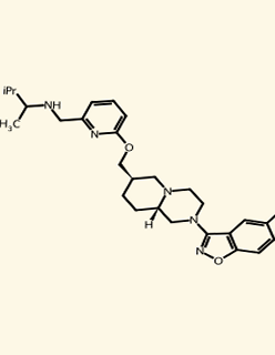 CC(C)C(C)NCc1cccc(OC[C@@H]2CC[C@H]3CN(c4noc5ccc(F)cc45)CCN3C2)n1